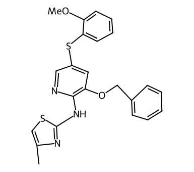 COc1ccccc1Sc1cnc(Nc2nc(C)cs2)c(OCc2ccccc2)c1